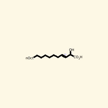 CCCCCCCCCCCCCC/C=C/C(O)C(=O)O